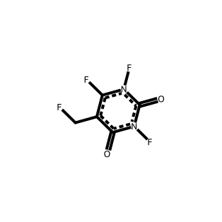 O=c1c(CF)c(F)n(F)c(=O)n1F